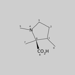 CC1CCN(C)[C@]1(C)C(=O)O